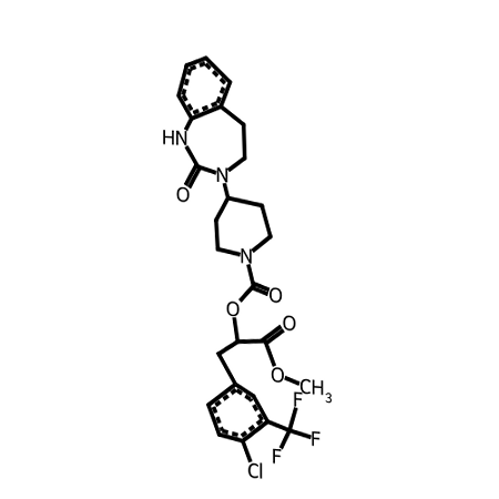 COC(=O)C(Cc1ccc(Cl)c(C(F)(F)F)c1)OC(=O)N1CCC(N2CCc3ccccc3NC2=O)CC1